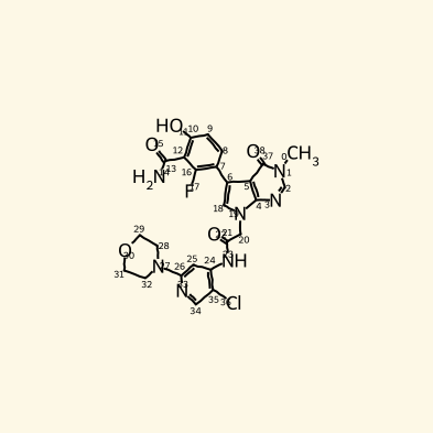 Cn1cnc2c(c(-c3ccc(O)c(C(N)=O)c3F)cn2CC(=O)Nc2cc(N3CCOCC3)ncc2Cl)c1=O